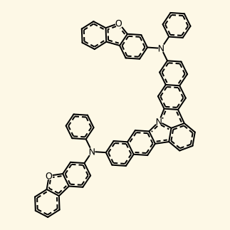 c1ccc(N(c2ccc3cc4c5cccc6c7cc8ccc(N(c9ccccc9)c9ccc%10c(c9)oc9ccccc9%10)cc8cc7n(c4cc3c2)c56)c2ccc3c(c2)oc2ccccc23)cc1